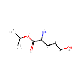 CC(C)OC(=O)C(N)CCCO